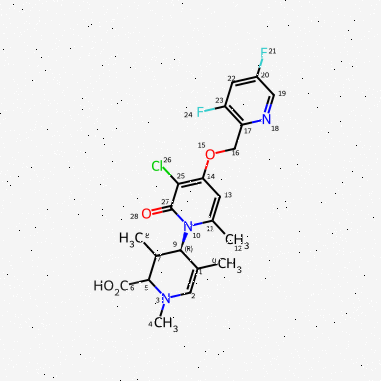 CC1=CN(C)C(C(=O)O)C(C)[C@H]1n1c(C)cc(OCc2ncc(F)cc2F)c(Cl)c1=O